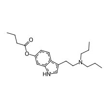 CCCC(=O)Oc1ccc2c(CCN(CCC)CCC)c[nH]c2c1